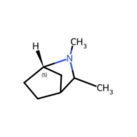 CC1C2CC[C@@H](C2)N1C